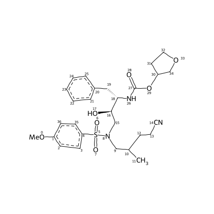 COc1ccc(S(=O)(=O)N(CC(C)CCC#N)C[C@@H](O)[C@H](Cc2ccccc2)NC(=O)OC2CCOC2)cc1